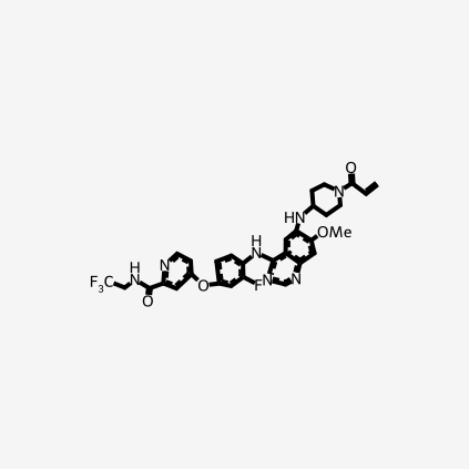 C=CC(=O)N1CCC(Nc2cc3c(Nc4ccc(Oc5ccnc(C(=O)NCC(F)(F)F)c5)cc4F)ncnc3cc2OC)CC1